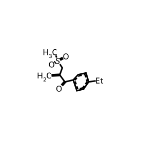 C=C(CS(C)(=O)=O)C(=O)c1ccc(CC)cc1